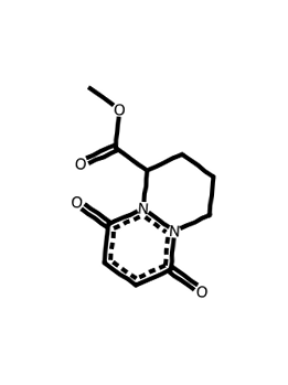 COC(=O)C1CCCn2c(=O)ccc(=O)n21